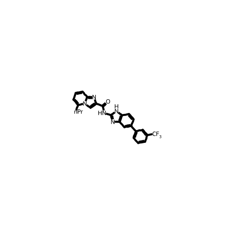 CCCc1cccc2nc(C(=O)Nc3nc4cc(-c5cccc(C(F)(F)F)c5)ccc4[nH]3)cn12